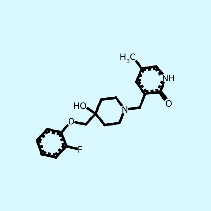 Cc1c[nH]c(=O)c(CN2CCC(O)(COc3ccccc3F)CC2)c1